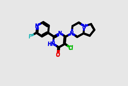 O=c1[nH]c(-c2ccnc(F)c2)nc(N2CCN3CCCC3C2)c1Cl